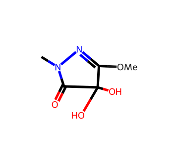 COC1=NN(C)C(=O)C1(O)O